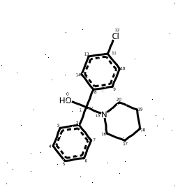 OC(c1ccccc1)(c1ccc(Cl)cc1)N1CCCCC1